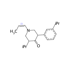 C/C=C\N1CC(c2cccc(C(C)C)c2)C(=O)C(C(C)C)C1